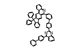 c1ccc(-c2ccc(-c3nc(-c4ccc(-c5cccc(-c6nc7ccccc7c7cc8c(cc67)-c6ccccc6C8(c6ccccc6)c6ccccc6)c5)cc4)nc4ccccc34)cc2)cc1